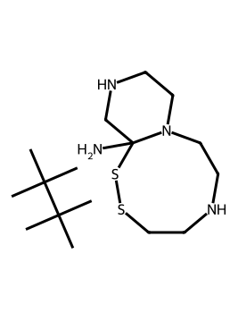 CC(C)(C)C(C)(C)C.NC12CNCCN1CCNCCSS2